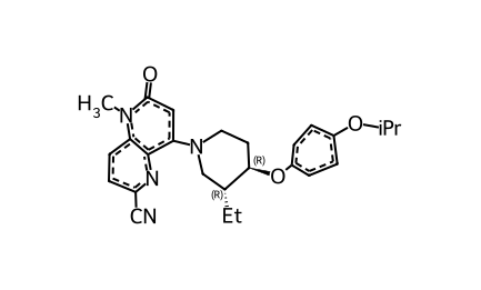 CC[C@@H]1CN(c2cc(=O)n(C)c3ccc(C#N)nc23)CC[C@H]1Oc1ccc(OC(C)C)cc1